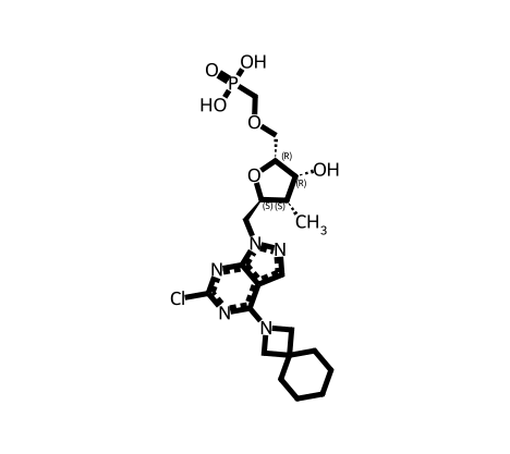 C[C@H]1[C@@H](O)[C@@H](COCP(=O)(O)O)O[C@@H]1Cn1ncc2c(N3CC4(CCCCC4)C3)nc(Cl)nc21